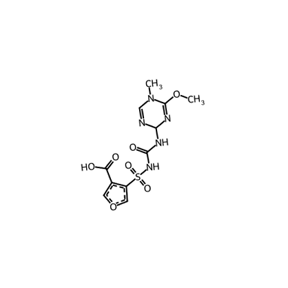 COC1=NC(NC(=O)NS(=O)(=O)c2cocc2C(=O)O)N=CN1C